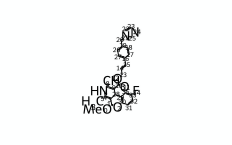 COC(=O)C1=C(C)NC(C)=C(C(=O)OCC=Cc2ccc(Cn3ccnc3)cc2)C1c1cccc(F)c1